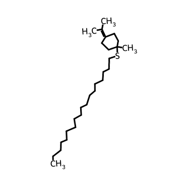 CCCCCCCCCCCCCCCCCCSC1(C)CCC(=C(C)C)CC1